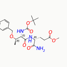 COC(=O)CC[C@@H](NC(=O)[C@@H](NC(=O)OC(C)(C)C)[C@@H](C)OCc1ccccc1)C(N)=O